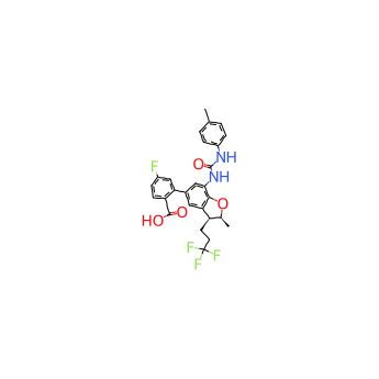 Cc1ccc(NC(=O)Nc2cc(-c3cc(F)ccc3C(=O)O)cc3c2O[C@@H](C)[C@H]3CCC(F)(F)F)cc1